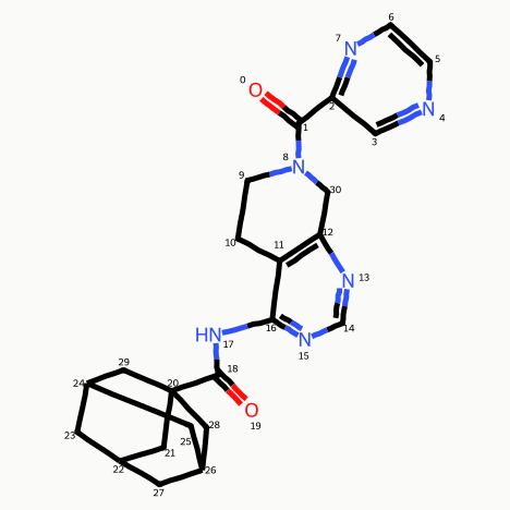 O=C(c1cnccn1)N1CCc2c(ncnc2NC(=O)C23CC4CC(CC(C4)C2)C3)C1